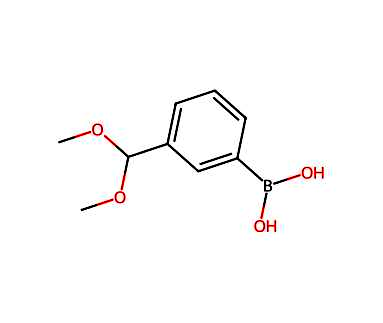 COC(OC)c1cccc(B(O)O)c1